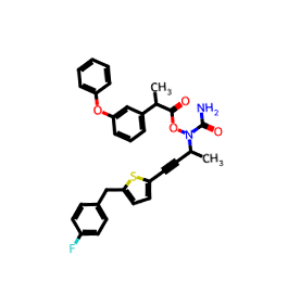 CC(C(=O)ON(C(N)=O)C(C)C#Cc1ccc(Cc2ccc(F)cc2)s1)c1cccc(Oc2ccccc2)c1